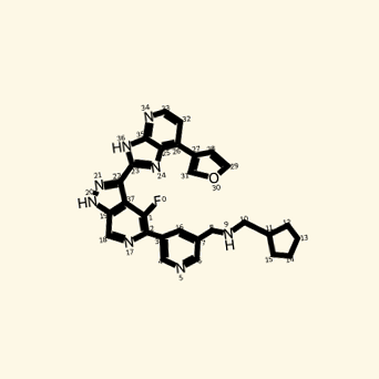 Fc1c(-c2cncc(CNCC3CCCC3)c2)ncc2[nH]nc(-c3nc4c(-c5ccoc5)ccnc4[nH]3)c12